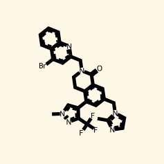 Cc1nccn1Cc1cc2c(c(-c3cn(C)nc3C(F)(F)F)c1)CCN(Cc1cc(Br)c3ccccc3n1)C2=O